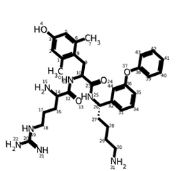 Cc1cc(O)cc(C)c1CC(NC(=O)C(N)CCCNC(=N)N)C(=O)N[C@@H](CCCCN)c1cccc(Oc2ccccc2)c1